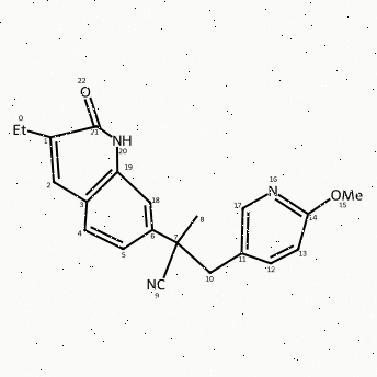 CCc1cc2ccc(C(C)(C#N)Cc3ccc(OC)nc3)cc2[nH]c1=O